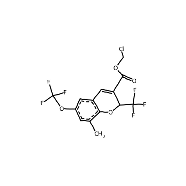 Cc1cc(OC(F)(F)F)cc2c1OC(C(F)(F)F)C(C(=O)OCCl)=C2